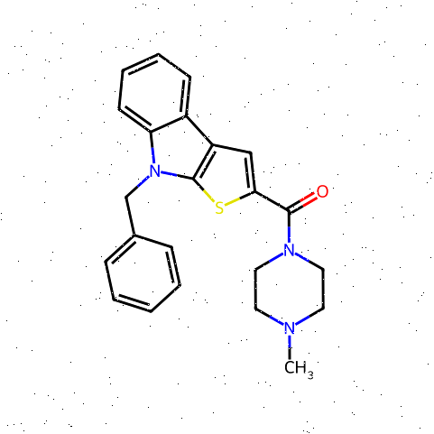 CN1CCN(C(=O)c2cc3c4ccccc4n(Cc4ccccc4)c3s2)CC1